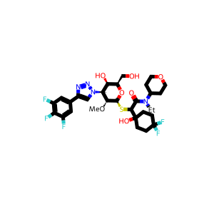 CCN(C(=O)C(S[C@@H]1O[C@H](CO)[C@H](O)[C@H](n2cc(-c3cc(F)c(F)c(F)c3)nn2)[C@H]1OC)C1(O)CCC(F)(F)CC1)C1CCOCC1